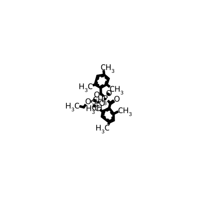 CCO[Si](C)(C)OP(=O)(C(=O)c1c(C)cc(C)cc1C)C(=O)c1c(C)cc(C)cc1C